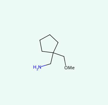 COCC1(CN)CCCC1